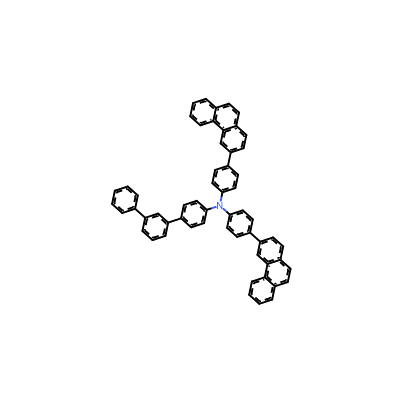 c1ccc(-c2cccc(-c3ccc(N(c4ccc(-c5ccc6ccc7ccccc7c6c5)cc4)c4ccc(-c5ccc6ccc7ccccc7c6c5)cc4)cc3)c2)cc1